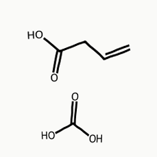 C=CCC(=O)O.O=C(O)O